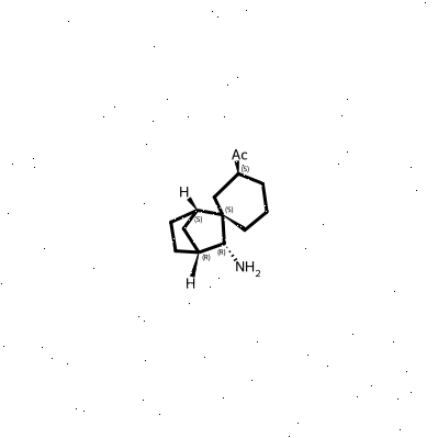 CC(=O)[C@H]1CCC[C@]2(C1)[C@H]1CC[C@H](C1)[C@H]2N